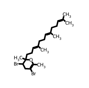 CC(C)=CCC/C(C)=C/CC/C(C)=C/CCC1(C)OC(C)=C(Br)CC1Br